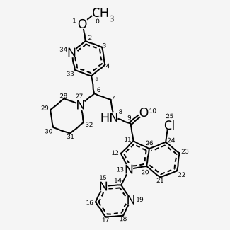 COc1ccc(C(CNC(=O)c2cn(-c3ncccn3)c3cccc(Cl)c23)N2CCCCC2)cn1